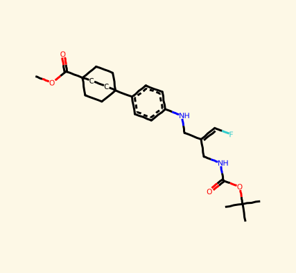 COC(=O)C12CCC(c3ccc(NCC(=CF)CNC(=O)OC(C)(C)C)cc3)(CC1)CC2